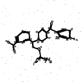 NC(=O)OCC(c1cccc([N+](=O)[O-])c1)N1CCC(C(=O)c2ccc(F)cc2)CC1